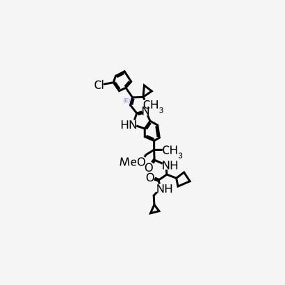 COCC(C)(C(=O)NC(C(=O)NCC1CC1)C1CCC1)c1ccc2nc(/C=C(/c3cccc(Cl)c3)C3(C)CC3)[nH]c2c1